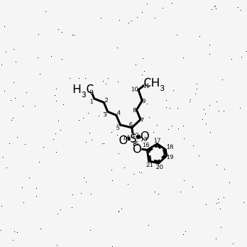 CCCCCCC(CCCCC)S(=O)(=O)Oc1ccccc1